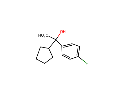 O=C(O)C(O)(c1ccc(F)cc1)C1CCCC1